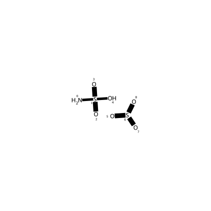 NS(=O)(=O)O.O=S(=O)=O